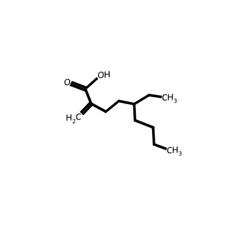 C=C(CCC(CC)CCCC)C(=O)O